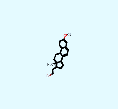 CCOC1=CC2=CC=C3C(CCC4(C)C(CCBr)CCC34)C2CC1